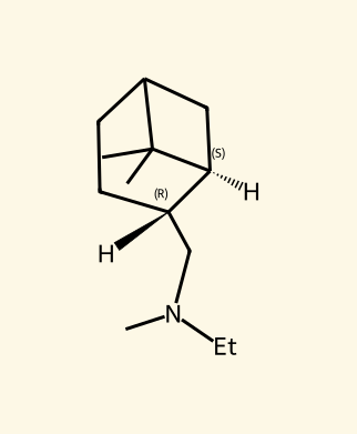 CCN(C)C[C@@H]1CCC2C[C@@H]1C2(C)C